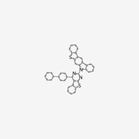 c1ccc(-c2ccc(-c3nc(-n4c5ccccc5c5cc6c(cc54)sc4ccccc46)nc4sc5ccccc5c34)cc2)cc1